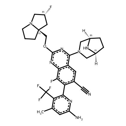 Cc1cc(N)nc(-c2c(C#N)cc3c(N4C[C@H]5CC[C@@H](C4)N5)nc(OC[C@@]45CCCN4C[C@H](F)C5)nc3c2F)c1C(F)(F)F